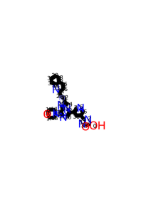 Oc1nc(-c2cncc(-c3cnc(N4CCOCC4)c4nc(/C=C/c5ccc6ccccc6n5)cn34)c2)no1